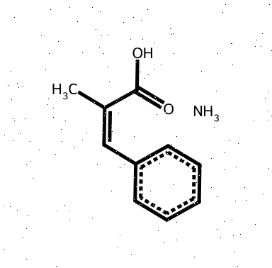 CC(=Cc1ccccc1)C(=O)O.N